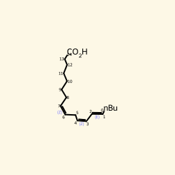 CCCC/C=C/C=C\C/C=C\CCCCCCC(=O)O